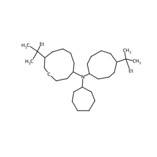 CCC(C)(C)C1CCCCC(N(C2CCCCCC2)C2CCCCC(C(C)(C)CC)CCC2)CCCC1